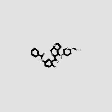 O=C(Nc1ccc(Cl)c(C(=O)C2=NCC3=NC=CC3=C2N[C@@H]2CC[C@@H](CO)OC2)c1)c1ccccc1